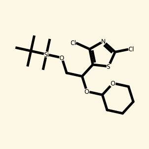 CC(C)(C)[Si](C)(C)OCC(OC1CCCCO1)c1sc(Cl)nc1Cl